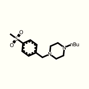 CCCCN1CCN(Cc2ccc(S(C)(=O)=O)cc2)CC1